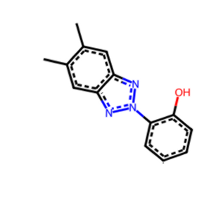 Cc1cc2nn(-c3c[c]ccc3O)nc2cc1C